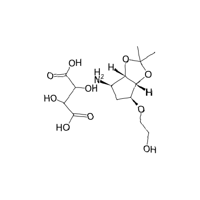 CC1(C)O[C@@H]2[C@H](O1)[C@@H](OCCO)C[C@H]2N.O=C(O)C(O)C(O)C(=O)O